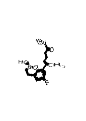 C=C(CCCC(=O)C(C)(C)C)c1cc(F)cc2c1OB(O)CC2